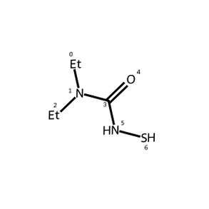 CCN(CC)C(=O)NS